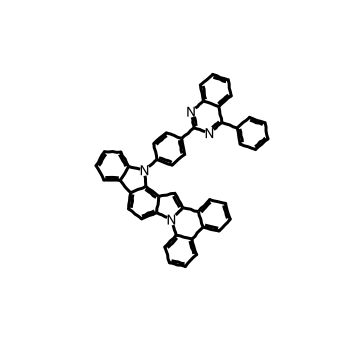 c1ccc(-c2nc(-c3ccc(-n4c5ccccc5c5ccc6c(cc7c8ccccc8c8ccccc8n76)c54)cc3)nc3ccccc23)cc1